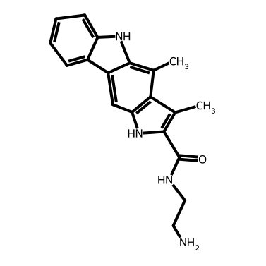 Cc1c(C(=O)NCCN)[nH]c2cc3c([nH]c4ccccc43)c(C)c12